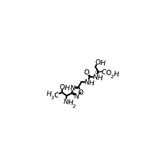 CC(O)C(N)c1noc(CNC(=O)N[C@@H](CO)C(=O)O)n1